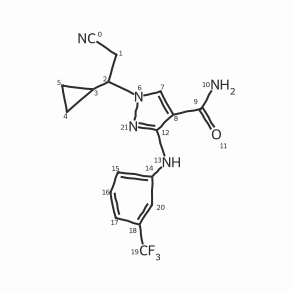 N#CCC(C1CC1)n1cc(C(N)=O)c(Nc2cccc(C(F)(F)F)c2)n1